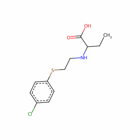 CCC(NCCSc1ccc(Cl)cc1)C(=O)O